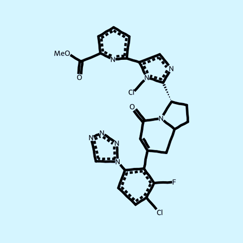 COC(=O)c1cccc(-c2cnc([C@@H]3CCC4CC(c5c(-n6cnnn6)ccc(Cl)c5F)=CC(=O)N43)n2Cl)n1